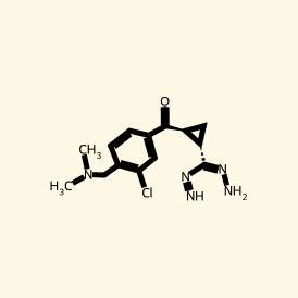 CN(C)Cc1ccc(C(=O)[C@H]2C[C@@H]2/C(N=N)=N/N)cc1Cl